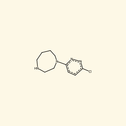 Clc1ccc(N2CCCCNCC2)nn1